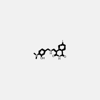 CN(C)c1ccc(CNC=C2C(=O)NC(=O)c3ccc(I)cc32)cc1O